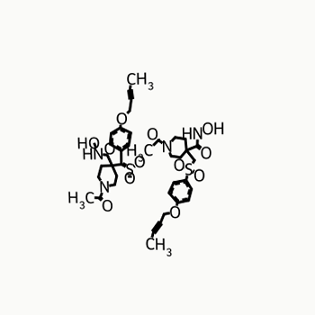 CC#CCOc1ccc(C(=S(=O)=O)C2(C(=O)NO)CCN(C(C)=O)CC2)cc1.CC#CCOc1ccc(S(=O)(=O)CC2(C(=O)NO)CCN(C(C)=O)CC2)cc1